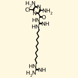 N=C(N)NCCCCCCCCCCCNC(=N)NC(=O)c1nc(Cl)c(N)nc1N